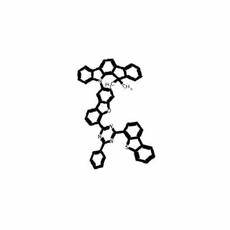 CC1(C)c2ccccc2-c2ccc3c4ccccc4n(-c4ccc5oc6c(-c7nc(-c8ccccc8)nc(-c8cccc9c8sc8ccccc89)n7)cccc6c5c4)c3c21